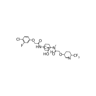 CN(C(=O)COC1C=NC(C(F)(F)F)CC1)C12CCC(NC(=O)COc3ccc(Cl)c(F)c3)(CC1)C[C@@H]2O